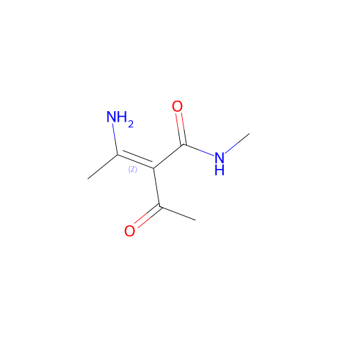 CNC(=O)/C(C(C)=O)=C(/C)N